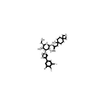 CO[C@@H]1[C@@H](n2cc(-c3cc(F)c(F)c(F)c3)nn2)[C@@H](O)[C@@H](CO)O[C@H]1SC(=O)CC1(O)CCC2(CC1)COC2